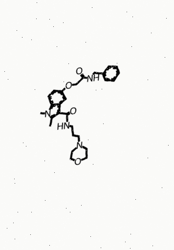 Cc1c(C(=O)NCCCN2CCOCC2)c2cc(OCC(=O)NCc3ccccc3)ccc2n1C